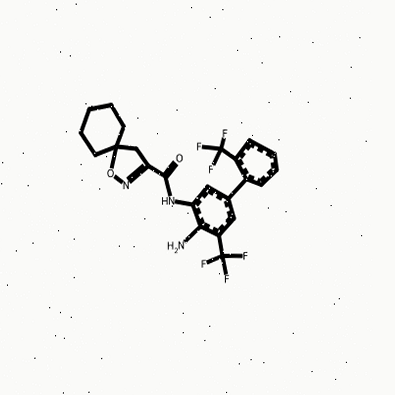 Nc1c(NC(=O)C2=NOC3(CCCCC3)C2)cc(-c2ccccc2C(F)(F)F)cc1C(F)(F)F